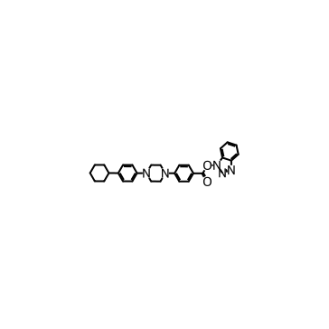 O=C(On1nnc2ccccc21)c1ccc(N2CCN(c3ccc(C4CCCCC4)cc3)CC2)cc1